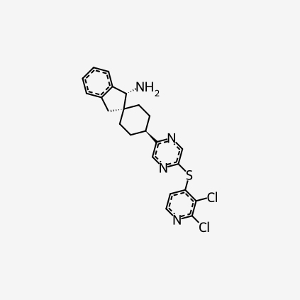 N[C@H]1c2ccccc2C[C@]12CC[C@H](c1cnc(Sc3ccnc(Cl)c3Cl)cn1)CC2